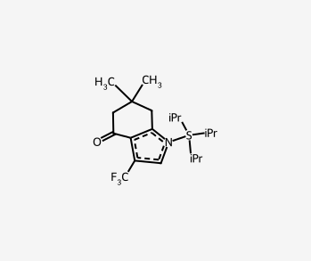 CC(C)S(C(C)C)(C(C)C)n1cc(C(F)(F)F)c2c1CC(C)(C)CC2=O